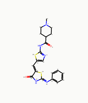 CN1CCC(C(=O)Nc2ncc(/C=C3\S/C(=N\c4ccccc4)NC3=O)s2)CC1